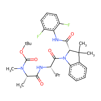 CC(C)[C@H](NC(=O)[C@H](C)N(C)C(=O)OC(C)(C)C)C(=O)N1c2ccccc2C(C)(C)[C@H]1C(=O)Nc1c(F)cccc1F